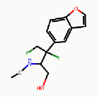 CCNC(CO)C(F)(CF)c1ccc2occc2c1